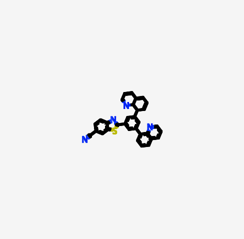 N#Cc1ccc2nc(-c3cc(-c4cccc5cccnc45)cc(C4C=CC=C5C=CC=NC54)c3)sc2c1